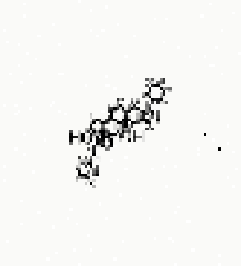 Cc1ccnc(SCC(=O)[C@@]2(O)CCC3C4CCC5=Cc6c(cnn6C6CCCCC6)CC5(C)C4[C@@H](O)CC32C)n1